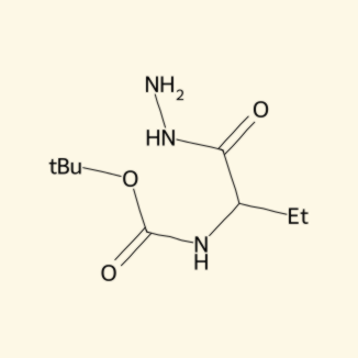 CCC(NC(=O)OC(C)(C)C)C(=O)NN